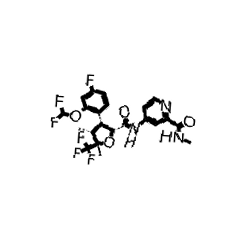 CNC(=O)c1cc(NC(=O)[C@@H]2O[C@](C)(C(F)(F)F)[C@H](C)[C@@H]2c2ccc(F)cc2OC(F)F)ccn1